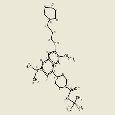 COc1cc2c(N3CCN(C(=O)OC(C)(C)C)CC3)nc(N(C)C)nc2cc1OCCCN1CCOCC1